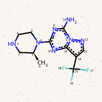 C[C@H]1CNCCN1c1nc(N)n2ncc(C(F)(F)F)c2n1